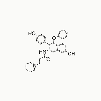 O=C(CCN1CCCCC1)Nc1cc2cc(O)ccc2c(Oc2ccccc2)c1-c1ccc(O)cc1